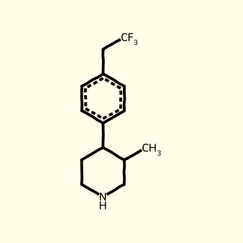 CC1CNCCC1c1ccc(CC(F)(F)F)cc1